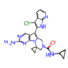 Nc1ncc2c(-c3[nH]c4ncccc4c3Cl)c3n(c2n1)C1(CC1)CN(C(=O)NC1CC1)C3